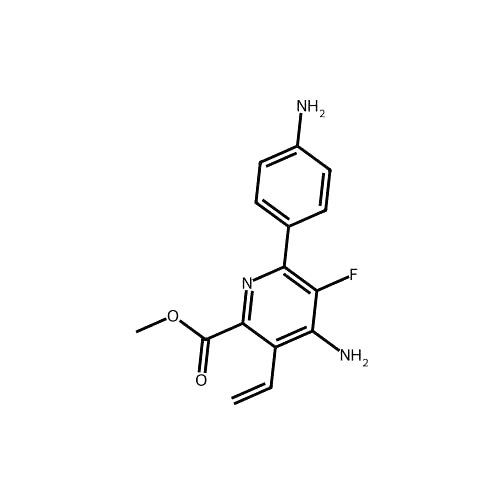 C=Cc1c(C(=O)OC)nc(-c2ccc(N)cc2)c(F)c1N